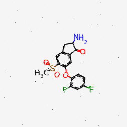 CS(=O)(=O)c1cc2c(cc1Oc1ccc(F)cc1F)C(=O)C(N)C2